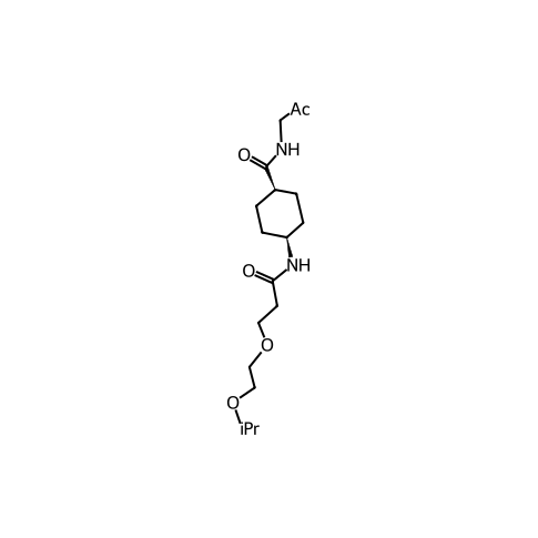 CC(=O)CNC(=O)[C@H]1CC[C@@H](NC(=O)CCOCCOC(C)C)CC1